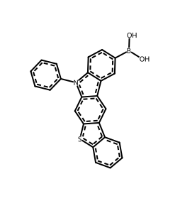 OB(O)c1ccc2c(c1)c1cc3c(cc1n2-c1ccccc1)sc1ccccc13